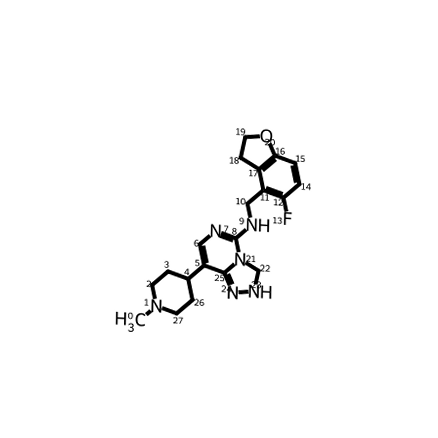 CN1CCC(C2=CN=C(NCc3c(F)ccc4c3CCO4)N3CNN=C23)CC1